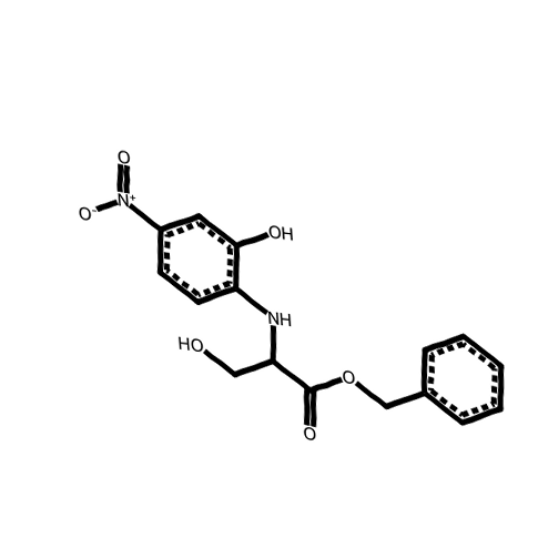 O=C(OCc1ccccc1)C(CO)Nc1ccc([N+](=O)[O-])cc1O